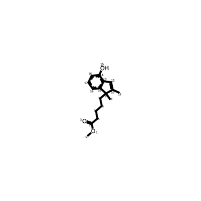 COC(=O)CCCCC1(C)C(C)=Cc2c(O)cccc21